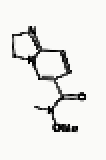 CON(C)C(=O)C1=CN2CCN=C2C=C1